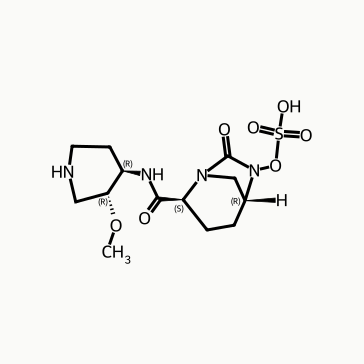 CO[C@@H]1CNCC[C@H]1NC(=O)[C@@H]1CC[C@@H]2CN1C(=O)N2OS(=O)(=O)O